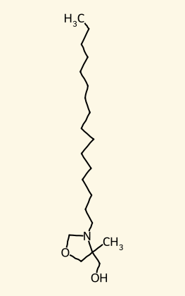 CCCCCCCCCCCCCCCCN1COCC1(C)CO